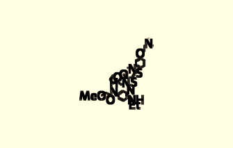 CCNc1ccc(NC(=O)COC)cc1N=C1S/C(=C2\Sc3ccc(OCCN(C)C)cc3N2C)C(=O)N1Cc1ccco1